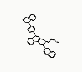 C=C/C=C\C=C1/Cc2cc(-c3ccc(-c4cccc5ccccc45)cc3)c3ccccc3c2C=C1c1ccc2ccccc2c1